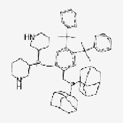 CC(C)(c1ccccc1)c1cc(CP(C2CCCNC2)C2CCCNC2)c(CP(C23CC4CC(CC(C4)C2)C3)C23CC4CC(CC(C4)C2)C3)cc1C(C)(C)c1ccccc1